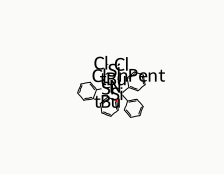 CCCCCC(N([Si](c1ccccc1)(c1ccccc1)C(C)(C)C)[Si](c1ccccc1)(c1ccccc1)C(C)(C)C)[Si](Cl)(Cl)Cl